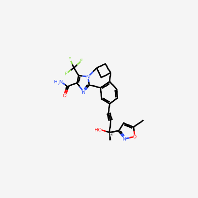 Cc1cc([C@](C)(O)C#Cc2ccc3c(c2)-c2nc(C(N)=O)c(C(F)(F)F)n2C2CC3C2)no1